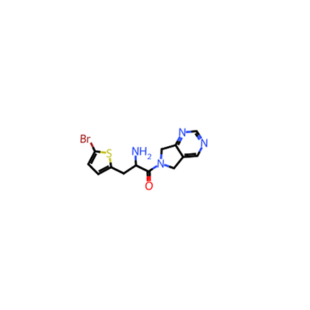 NC(Cc1ccc(Br)s1)C(=O)N1Cc2cncnc2C1